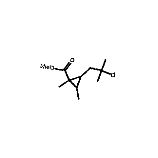 COC(=O)C1(C)C(C)C1CC(C)(C)Cl